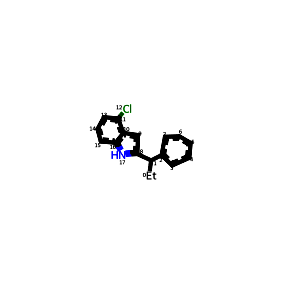 [CH2]CC(c1ccccc1)c1cc2c(Cl)cccc2[nH]1